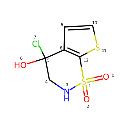 O=S1(=O)NCC(O)(Cl)c2ccsc21